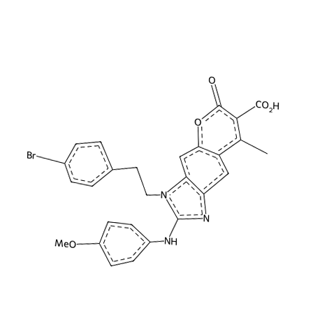 COc1ccc(Nc2nc3cc4c(C)c(C(=O)O)c(=O)oc4cc3n2CCc2ccc(Br)cc2)cc1